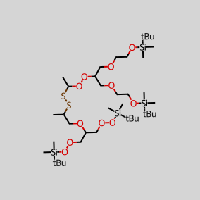 CC(COC(COO[Si](C)(C)C(C)(C)C)COO[Si](C)(C)C(C)(C)C)SSC(C)OOC(COCCO[Si](C)(C)C(C)(C)C)COCCO[Si](C)(C)C(C)(C)C